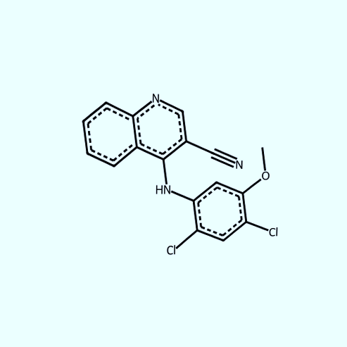 COc1cc(Nc2c(C#N)cnc3ccccc23)c(Cl)cc1Cl